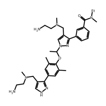 CCN(C)C(=O)c1cccc(-c2nn(C(C)Oc3c(C)cc(-c4n[nH]cc4CN(C)CCN)cc3C)cc2CN(C)CCN)c1